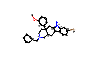 COc1cccc(C23CCN(Cc4ccccc4)CC2Cc2c([nH]c4cc(Br)ccc24)C3)c1